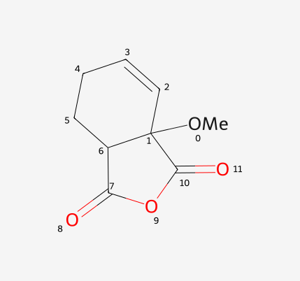 COC12C=CCCC1C(=O)OC2=O